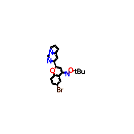 CC(C)(C)ON=c1cc(-c2cc3cccn3cn2)oc2ccc(Br)cc12